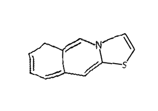 C1=CCC2=CN3C=CSC3=CC2=C1